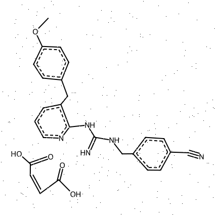 COc1ccc(Cc2cccnc2NC(=N)NCc2ccc(C#N)cc2)cc1.O=C(O)/C=C\C(=O)O